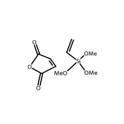 C=C[Si](OC)(OC)OC.O=C1C=CC(=O)O1